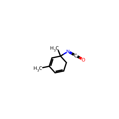 CC1=CC(C)(N=C=O)CC=C1